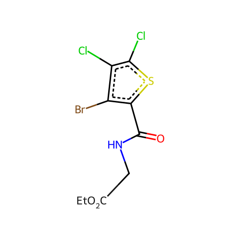 CCOC(=O)CNC(=O)c1sc(Cl)c(Cl)c1Br